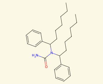 CCCCCCC(c1ccccc1)N(C(N)=O)C(CCCCCC)c1ccccc1